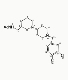 CC(=O)NCC1CCCN(C2CCN(Cc3ccc(Cl)c(Cl)c3)CC2)C1